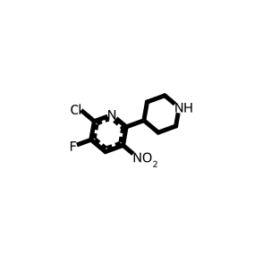 O=[N+]([O-])c1cc(F)c(Cl)nc1C1CCNCC1